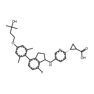 Cc1cc(OCCC(C)(C)O)cc(C)c1-c1ccc(F)c2c1CCC2Nc1ccc([C@@H]2CC2C(=O)O)nc1